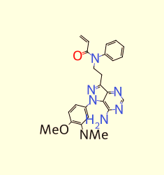 C=CC(=O)N(CCc1nn(-c2ccc(OC)c(NC)c2)c2c(N)ncnc12)c1ccccc1